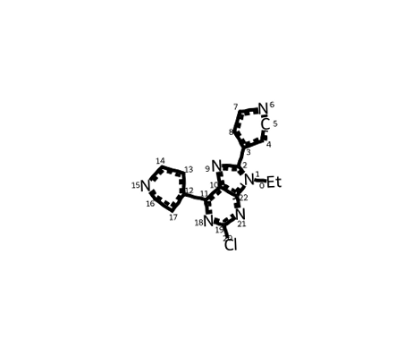 CCn1c(-c2ccncc2)nc2c(-c3ccncc3)nc(Cl)nc21